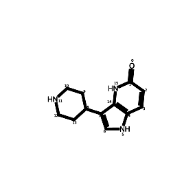 O=c1ccc2[nH]cc(C3CCNCC3)c2[nH]1